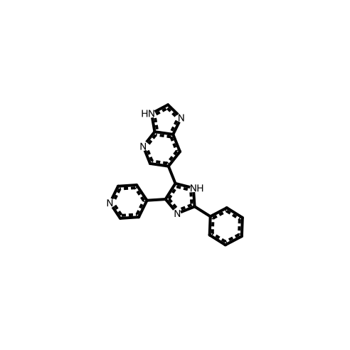 c1ccc(-c2nc(-c3ccncc3)c(-c3cnc4[nH]cnc4c3)[nH]2)cc1